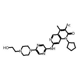 CC(=O)c1c(C)c2cnc(Nc3cnc(N4CCN(CCO)CC4)cn3)cc2n(C2CCCC2)c1=O